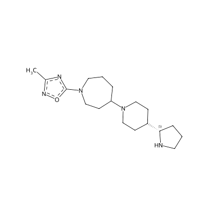 Cc1noc(N2CCCC(N3CCC([C@@H]4CCCN4)CC3)CC2)n1